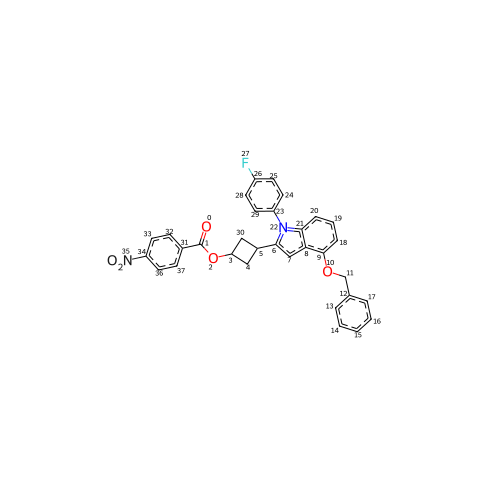 O=C(OC1CC(c2cc3c(OCc4ccccc4)cccc3n2-c2ccc(F)cc2)C1)c1ccc([N+](=O)[O-])cc1